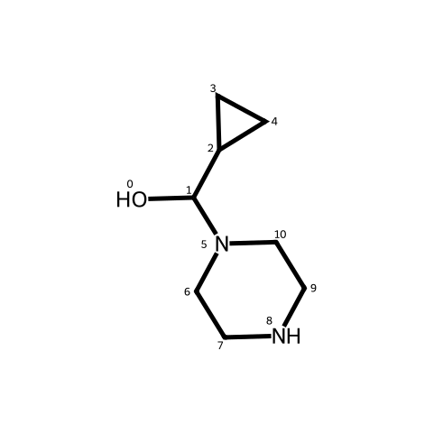 OC(C1CC1)N1CCNCC1